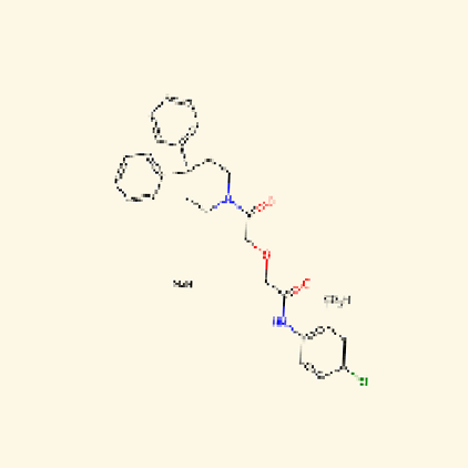 O=C(COCC(=O)N1CCC(c2ccccc2)(c2ccccc2)CC1)Nc1ccc(Cl)cc1C(=O)O.[NaH]